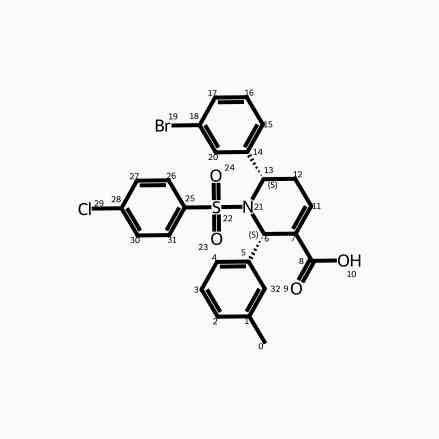 Cc1cccc([C@H]2C(C(=O)O)=CC[C@@H](c3cccc(Br)c3)N2S(=O)(=O)c2ccc(Cl)cc2)c1